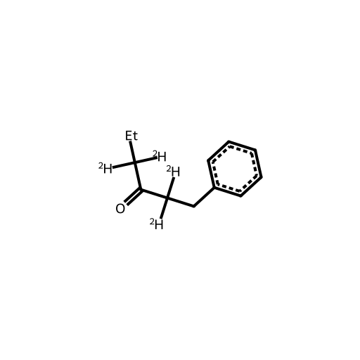 [2H]C([2H])(CC)C(=O)C([2H])([2H])Cc1ccccc1